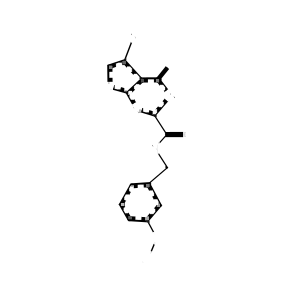 COc1cccc(CNC(=O)c2nc3scc(N)c3c(=O)[nH]2)c1